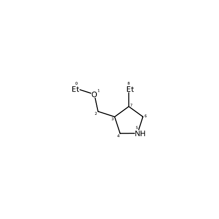 CCOCC1CNCC1CC